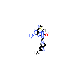 Cc1cnc2c(c1)CN(CCN1C(=O)N(C)N3C4=C(c5nccs5)N=CN(N)C4=NC13)CC2